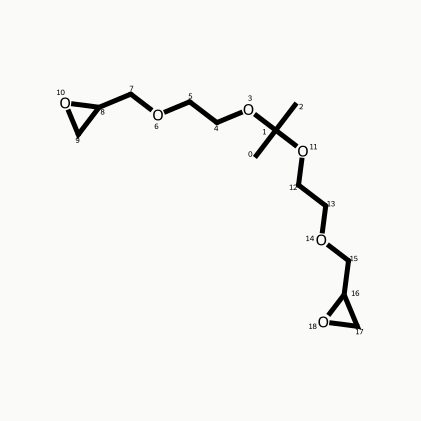 CC(C)(OCCOCC1CO1)OCCOCC1CO1